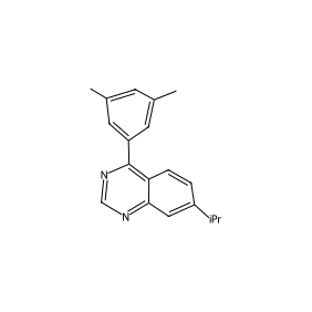 Cc1cc(C)cc(-c2ncnc3cc(C(C)C)ccc23)c1